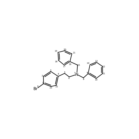 Brc1ccc(CCN(Cc2ccccc2)Cc2ccccc2)cc1